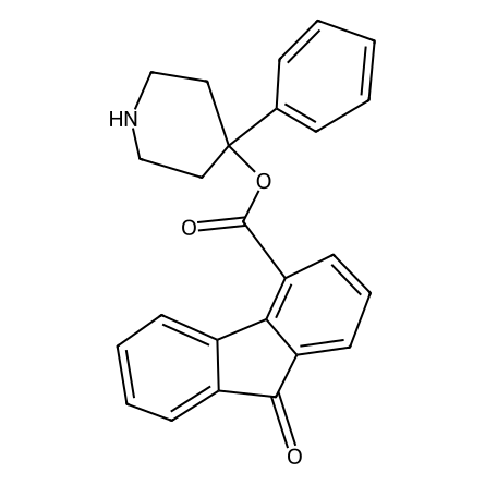 O=C(OC1(c2ccccc2)CCNCC1)c1cccc2c1-c1ccccc1C2=O